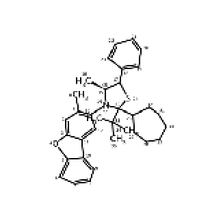 Cc1cc2oc3ccccc3c2cc1N1[C@@H](C)C(c2ccccc2)SC1(C1CCCCCC1)C(C)(C)C